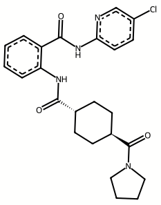 O=C(Nc1ccc(Cl)cn1)c1ccccc1NC(=O)[C@H]1CC[C@H](C(=O)N2CCCC2)CC1